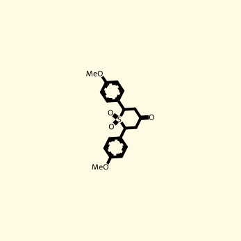 COc1ccc(C2CC(=O)CC(c3ccc(OC)cc3)S2(=O)=O)cc1